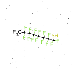 FC(F)(F)C(F)(F)C(F)(F)C(F)(F)C(F)(F)C(F)(F)C(F)(F)C(F)(F)S